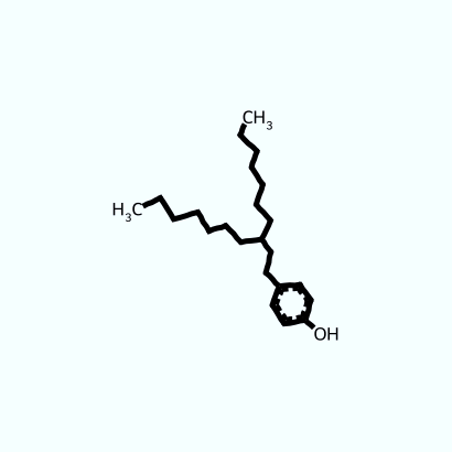 CCCCCCCC(CCCCCCC)CCc1ccc(O)cc1